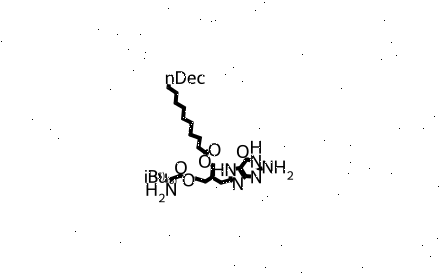 CCCCCCCCCCCCCCCCCCCC(=O)OCC(CCOC(=O)[C@@H](N)[C@@H](C)CC)Cc1nc2nc(N)[nH]c(=O)c2[nH]1